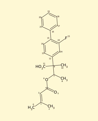 CC(C)=CC(=O)OC(C)C(C)(C(=O)O)c1ccc(-c2ccccc2)c(F)c1